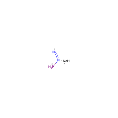 N=NP.[NaH]